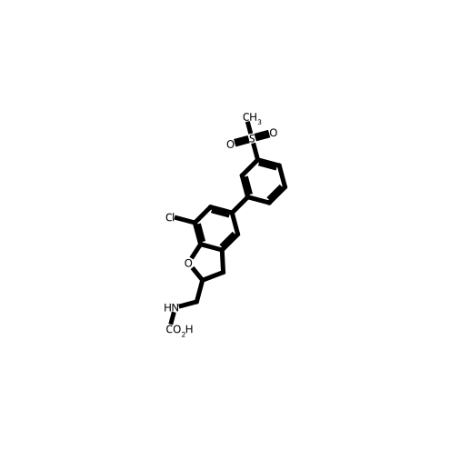 CS(=O)(=O)c1cccc(-c2cc(Cl)c3c(c2)CC(CNC(=O)O)O3)c1